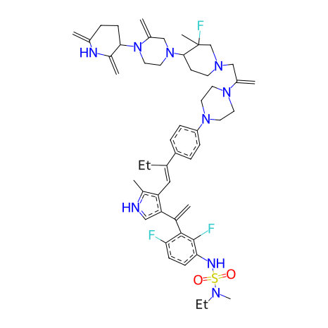 C=C1CCC(N2CCN(C3CCN(CC(=C)N4CCN(c5ccc(/C(=C/c6c(C(=C)c7c(F)ccc(NS(=O)(=O)N(C)CC)c7F)c[nH]c6C)CC)cc5)CC4)CC3(C)F)CC2=C)C(=C)N1